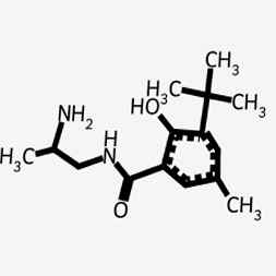 Cc1cc(C(=O)NCC(C)N)c(O)c(C(C)(C)C)c1